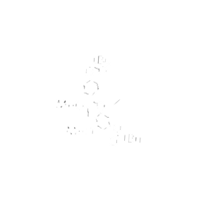 C=CCc1cc(C=C(OC)C(=O)c2ccc(OC(=O)C(C)(C)C)cc2)c(OC)cc1OC(=O)C(C)(C)C